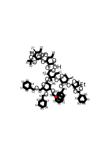 CC[C@]12CO[C@@H](OC3[C@H](C)CO[C@@H](O[C@H]4C(C)O[C@@H](O[C@@H]5C(O[C@@H]6OC(C)[C@H](C)[C@@H]7OC(C)(C)OC67)[C@@H](OC(C)=O)C(C)O[C@@H]5O)[C@@H](C)C4(C)O[C@@H]4OC(COCc5ccccc5)[C@@H](OCc5ccccc5)C(OCc5ccccc5)[C@H]4C)[C@@H]3OCc3ccccc3)C1O[C@H](c1ccccc1)O2